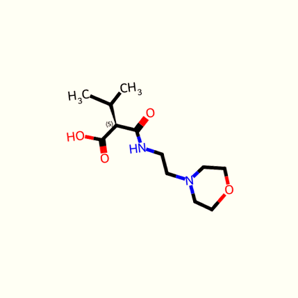 CC(C)[C@H](C(=O)O)C(=O)NCCN1CCOCC1